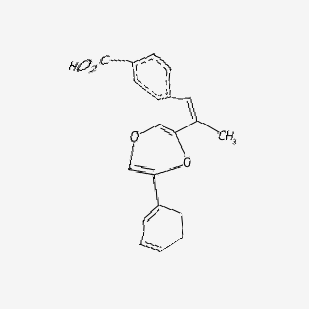 CC(=Cc1ccc(C(=O)O)cc1)C1=COC=C(C2=CC=CCC2)O1